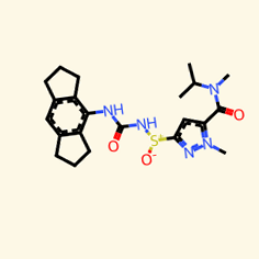 CC(C)N(C)C(=O)c1cc([S+]([O-])NC(=O)Nc2c3c(cc4c2CCC4)CCC3)nn1C